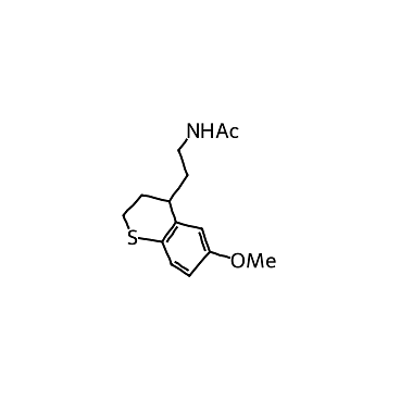 COc1ccc2c(c1)C(CCNC(C)=O)CCS2